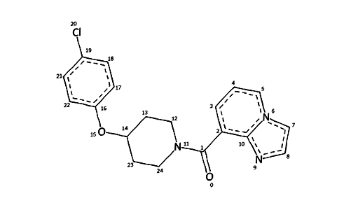 O=C(c1cccn2ccnc12)N1CCC(Oc2ccc(Cl)cc2)CC1